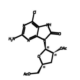 CC(=O)OC[C@@H]1C[C@@H](OC(C)=O)[C@H](n2c(=O)[nH]c3c(Cl)nc(N)nc32)O1